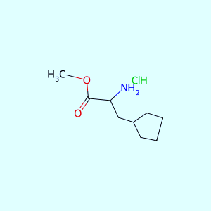 COC(=O)C(N)CC1CCCC1.Cl